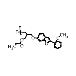 C=CC(=O)OCC(COc1ccc2cc(-c3ccccc3CC)oc2c1)CC(F)(F)F